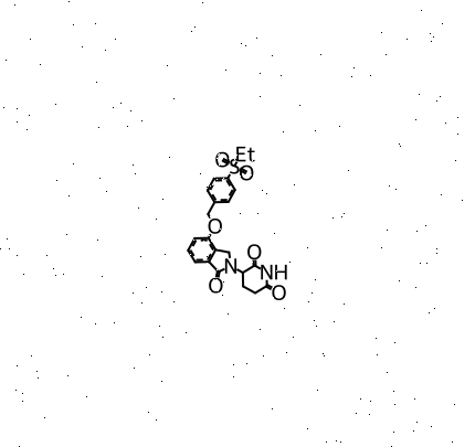 CCS(=O)(=O)c1ccc(COc2cccc3c2CN(C2CCC(=O)NC2=O)C3=O)cc1